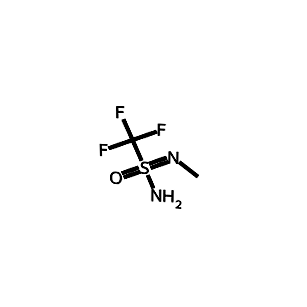 CN=S(N)(=O)C(F)(F)F